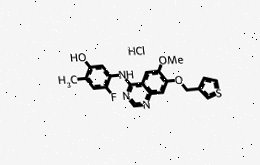 COc1cc2c(Nc3cc(O)c(C)cc3F)ncnc2cc1OCc1ccsc1.Cl